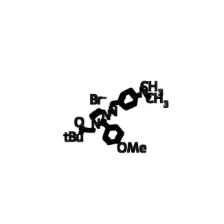 COc1ccc(-c2n(CC(=O)C(C)(C)C)cc[n+]2/N=C/c2ccc(N(C)C)cc2)cc1.[Br-]